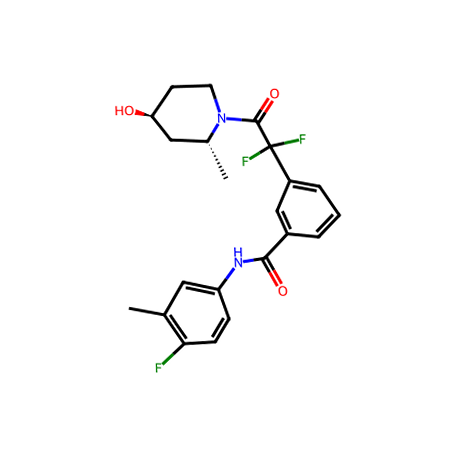 Cc1cc(NC(=O)c2cccc(C(F)(F)C(=O)N3CC[C@H](O)C[C@H]3C)c2)ccc1F